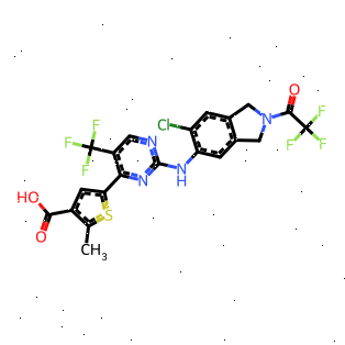 Cc1sc(-c2nc(Nc3cc4c(cc3Cl)CN(C(=O)C(F)(F)F)C4)ncc2C(F)(F)F)cc1C(=O)O